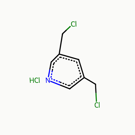 Cl.ClCc1cncc(CCl)c1